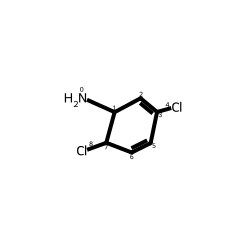 NC1C=C(Cl)C=CC1Cl